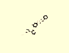 CSc1nccc(-c2cccnc2Oc2c(C)cc(NS(=O)(=O)C(C)c3ccccc3)c(F)c2F)n1